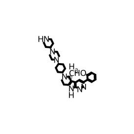 C[C@@H]1c2c([nH]c3nnc(-c4ccccc4O)cc23)CCN1[C@H]1CC[C@@H](N2CCN(C3CCNCC3)CC2)CC1